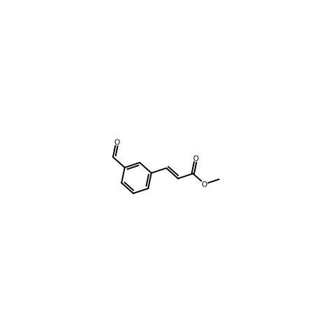 COC(=O)/C=C/c1cccc(C=O)c1